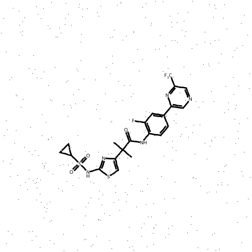 CC(C)(C(=O)Nc1ccc(-c2cncc(C(F)(F)F)n2)cc1F)c1csc(NS(=O)(=O)C2CC2)n1